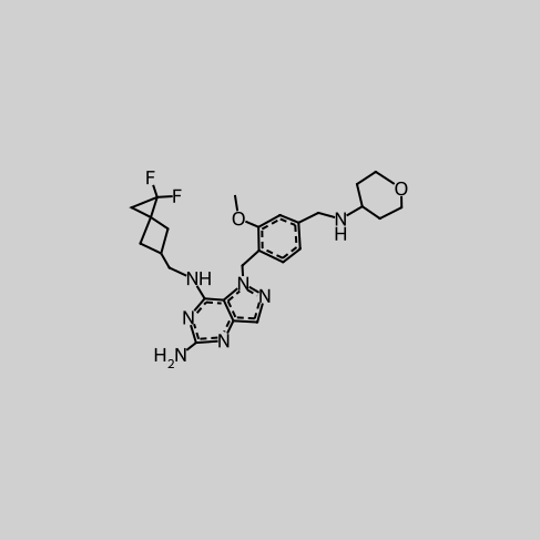 COc1cc(CNC2CCOCC2)ccc1Cn1ncc2nc(N)nc(NCC3CC4(C3)CC4(F)F)c21